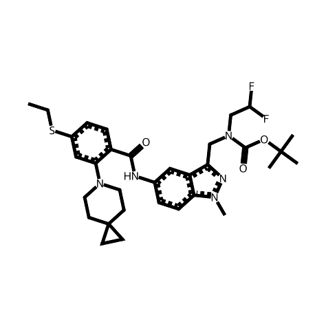 CCSc1ccc(C(=O)Nc2ccc3c(c2)c(CN(CC(F)F)C(=O)OC(C)(C)C)nn3C)c(N2CCC3(CC2)CC3)c1